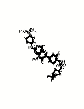 CC(C)n1c(=O)c(-c2ccc(NS(=O)(=O)CC3CC4C(C3)C4(F)F)c(F)c2)nc2cnc(N[C@H]3CC[C@H](N(C)C)CC3)nc21